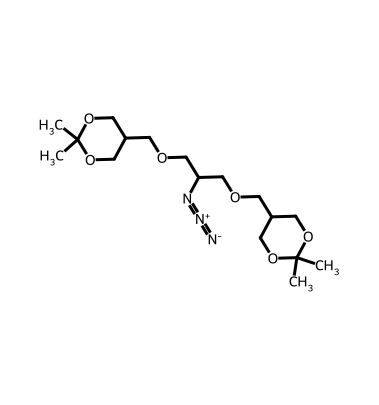 CC1(C)OCC(COCC(COCC2COC(C)(C)OC2)N=[N+]=[N-])CO1